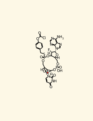 Nc1ncnc2c1ncn2[C@@H]1O[C@@H]2COP(=O)(O)O[C@@H]3[C@H](F)[C@@H](COP(=O)(SCc4ccc(OC(=O)Cl)cc4)O[C@H]2[C@H]1F)O[C@H]3n1ccc(=O)[nH]c1=O